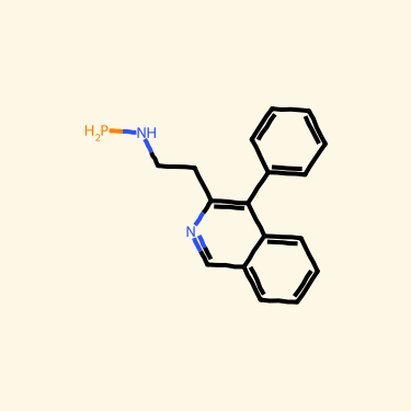 PNCCc1ncc2ccccc2c1-c1ccccc1